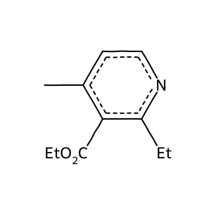 CCOC(=O)c1c(C)ccnc1CC